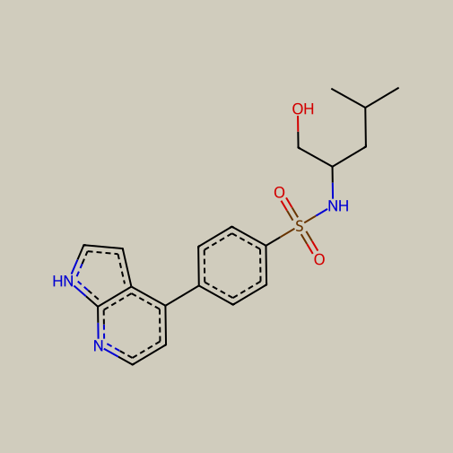 CC(C)CC(CO)NS(=O)(=O)c1ccc(-c2ccnc3[nH]ccc23)cc1